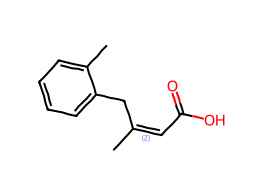 C/C(=C/C(=O)O)Cc1ccccc1C